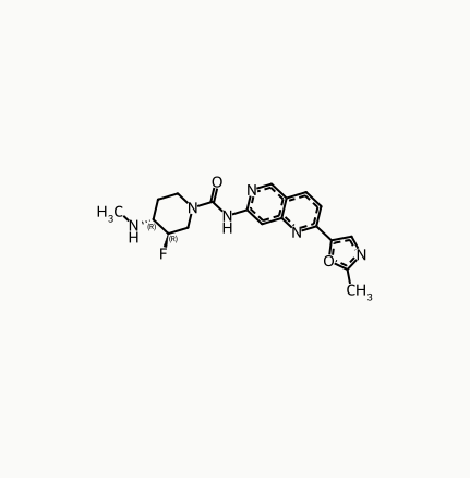 CN[C@@H]1CCN(C(=O)Nc2cc3nc(-c4cnc(C)o4)ccc3cn2)C[C@H]1F